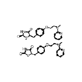 CN(CCOc1ccc(CC2SC(=O)NC2=O)cc1)c1ccccn1.CN(CCOc1ccc(CC2SC(=O)NC2=O)cc1)c1ccccn1